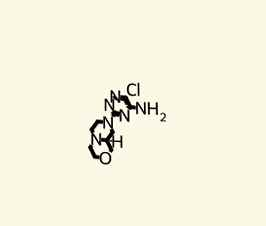 Nc1nc(N2CCN3CCOC[C@@H]3C2)nnc1Cl